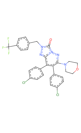 O=c1n(Cc2ccc(C(F)(F)F)cc2)nc2c(-c3ccc(Cl)cc3)c(-c3ccc(Cl)cc3)c(N3CCOCC3)nn12